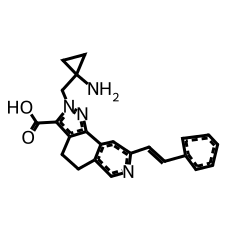 NC1(Cn2nc3c(c2C(=O)O)CCc2cnc(C=Cc4ccccc4)cc2-3)CC1